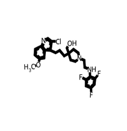 COc1ccc2ncc(Cl)c(CCCC3(CO)CCN(CCNc4c(F)cc(F)cc4F)CC3)c2c1